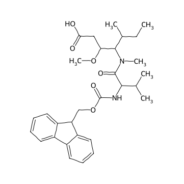 CCC(C)C(C(CC(=O)O)OC)N(C)C(=O)C(NC(=O)OCC1c2ccccc2-c2ccccc21)C(C)C